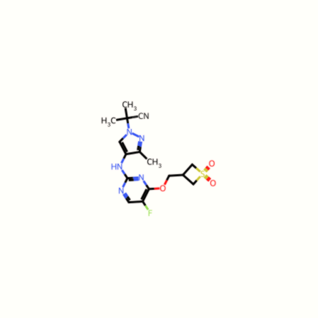 Cc1nn(C(C)(C)C#N)cc1Nc1ncc(F)c(OCC2CS(=O)(=O)C2)n1